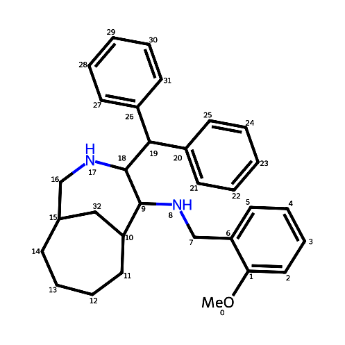 COc1ccccc1CNC1C2CCCCC(CNC1C(c1ccccc1)c1ccccc1)C2